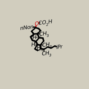 CCCCCCCCCC1(OC(=O)O)CC[C@@]2(C)C(=CC[C@H]3[C@@H]4CC[C@H]([C@H](C)CCCC(C)C)[C@@]4(C)CC[C@@H]32)C1